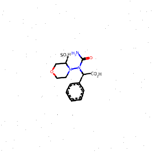 NC(=O)N(C(C(=O)O)c1ccccc1)N1CCOCC1S(=O)(=O)O